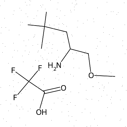 COCC(N)CC(C)(C)C.O=C(O)C(F)(F)F